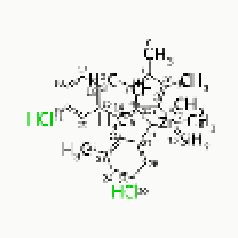 CC1=C(C)C(C)[C]([Zr]([CH3])([CH3])(=[SiH2])[CH]2C(C)=C(c3ccccc3)c3c(C)cccc32)=C1C.Cl.Cl